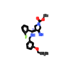 CCOC(=O)COc1cccc(CN/C(=C2/CN(C(=O)OC(C)(C)C)CC2=N)c2ccccc2F)c1